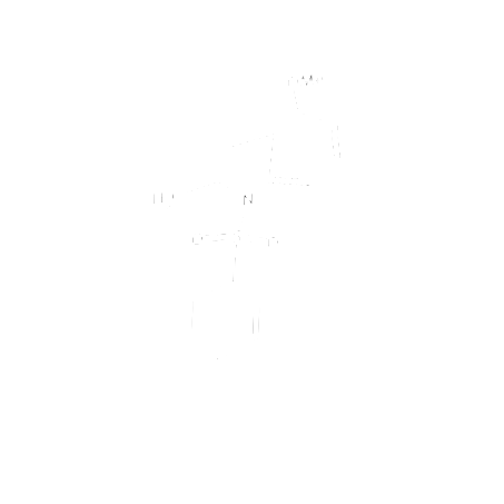 COc1cccc2c1cc(C)n2S(=O)(=O)c1ccccc1